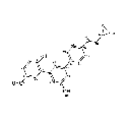 O=Cc1ccc(Cl)c(-c2nc(O)cc(-c3ccc(OCC4CC4)cc3)n2)c1